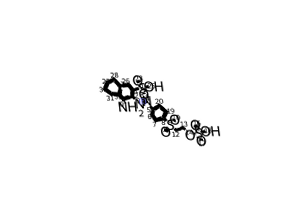 Nc1c(/N=N/c2ccc(S(=O)(=O)CCOS(=O)(=O)O)cc2)c(S(=O)(=O)O)cc2ccccc12